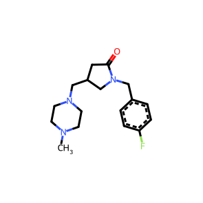 CN1CCN(CC2CC(=O)N(Cc3ccc(F)cc3)C2)CC1